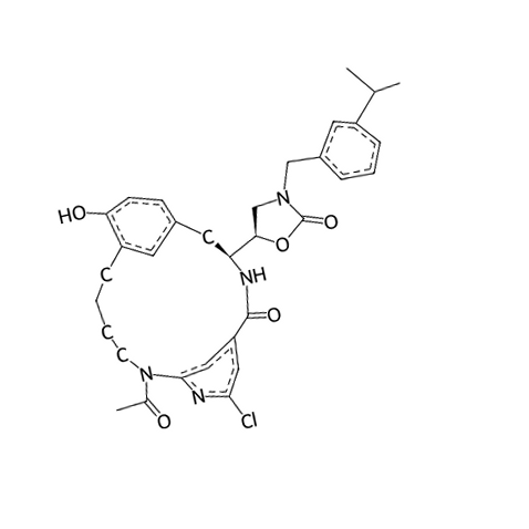 CC(=O)N1CCCCc2cc(ccc2O)C[C@@H]([C@H]2CN(Cc3cccc(C(C)C)c3)C(=O)O2)NC(=O)c2cc(Cl)nc1c2